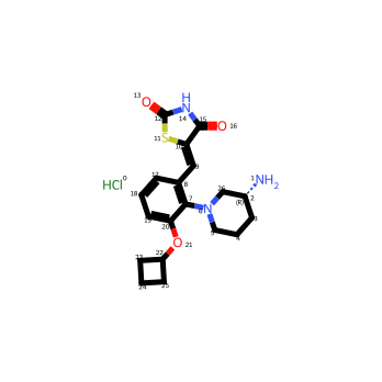 Cl.N[C@@H]1CCCN(c2c(C=C3SC(=O)NC3=O)cccc2OC2CCC2)C1